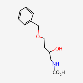 O=C(O)NCC(O)CCOCc1ccccc1